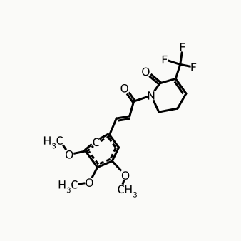 COc1cc(C=CC(=O)N2CCC=C(C(F)(F)F)C2=O)cc(OC)c1OC